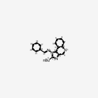 CCCCc1nc2cnc3ccccc3c2n1/N=C/c1ccccc1